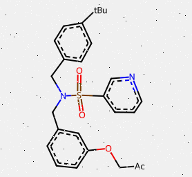 CC(=O)COc1cccc(CN(Cc2ccc(C(C)(C)C)cc2)S(=O)(=O)c2cccnc2)c1